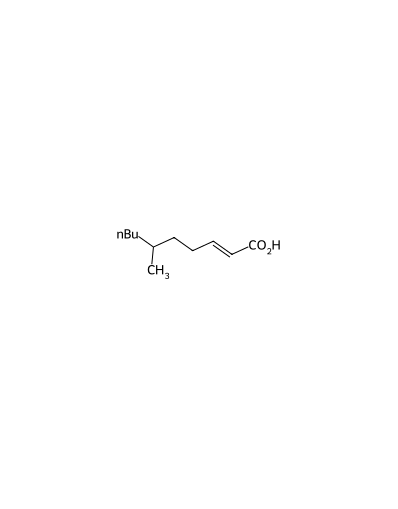 CCCCC(C)CCC=CC(=O)O